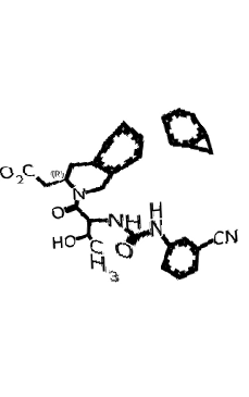 CC(O)C(NC(=O)Nc1cccc(C#N)c1)C(=O)N1Cc2ccccc2C[C@@H]1CC(=O)O.c1ccc2c(c1)C2